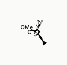 COC(=O)c1sc(C#CC2CC2)cc1N=CN(C)C